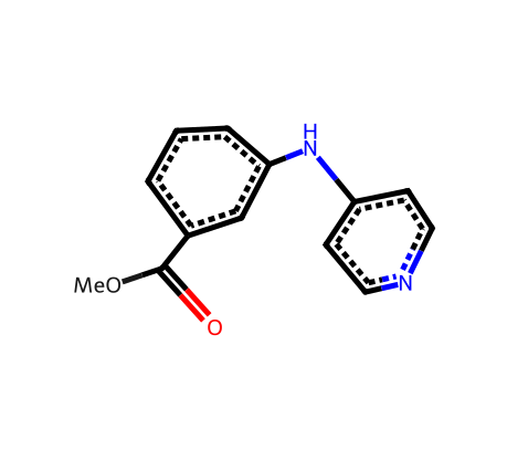 COC(=O)c1cccc(Nc2ccncc2)c1